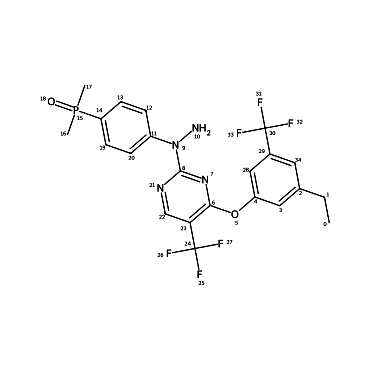 CCc1cc(Oc2nc(N(N)c3ccc(P(C)(C)=O)cc3)ncc2C(F)(F)F)cc(C(F)(F)F)c1